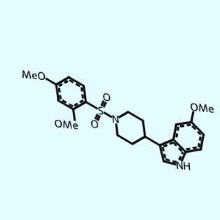 COc1ccc(S(=O)(=O)N2CCC(c3c[nH]c4ccc(OC)cc34)CC2)c(OC)c1